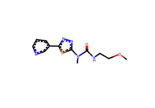 COCCNC(=O)N(C)c1nnc(-c2cccnc2)s1